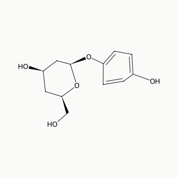 OC[C@H]1C[C@@H](O)C[C@@H](Oc2ccc(O)cc2)O1